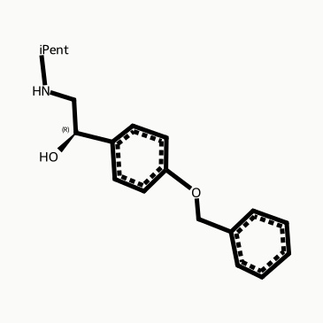 CCCC(C)NC[C@H](O)c1ccc(OCc2ccccc2)cc1